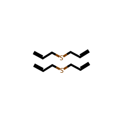 C=CCSCC=C.C=CCSCC=C